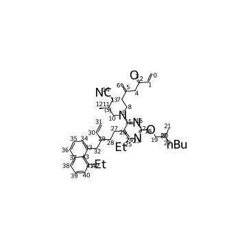 C=CC(=O)CC(=C)CCN(C[C@@H](C)CC#N)c1nc(OC[C@@H](C)CCCC)nc(CC)c1CCC(C=C)Cc1cccc2cccc(CC)c12